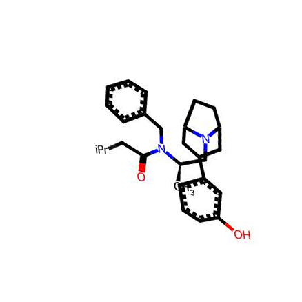 CC(C)CC(=O)N(Cc1ccccc1)[C@H](C)CN1C2CCC1CC(c1cccc(O)c1)C2